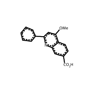 COc1cc(-c2ccccc2)nc2cc(C(=O)O)ccc12